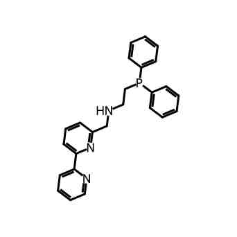 c1ccc(P(CCNCc2cccc(-c3ccccn3)n2)c2ccccc2)cc1